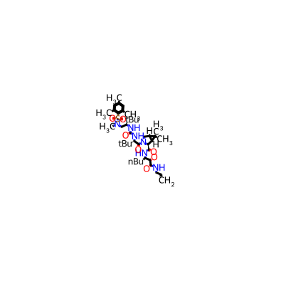 C=CCNC(=O)C(=O)C(CCCC)NC(=O)[C@@H]1[C@@H]2[C@H](CN1C(=O)[C@@H](NC(=O)N[C@H](CN(C)S(=O)(=O)c1c(C)cc(C)cc1C)C(C)(C)C)C(C)(C)C)C2(C)C